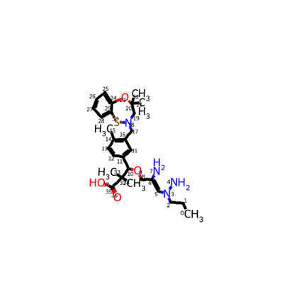 CCCN(N)/C=C(\N)COC(c1ccc(C)c(CN2CC(C)(C)Oc3ccccc3S2)c1)C(C)(C)C(=O)O